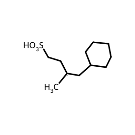 C[C](CCS(=O)(=O)O)CC1CCCCC1